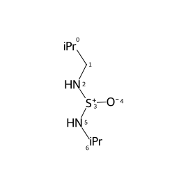 CC(C)CN[S+]([O-])NC(C)C